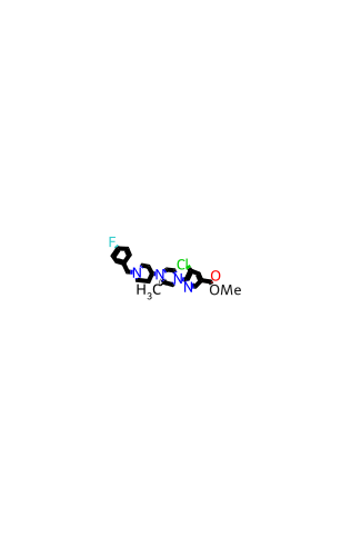 COC(=O)c1cnc(N2CCN(C3CCN(Cc4ccc(F)cc4)CC3)[C@@H](C)C2)c(Cl)c1